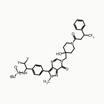 Cn1nc2c(=O)n(CC3(O)CCN(C(=O)CC(c4ccccc4)C(F)(F)F)CC3)cnc2c1-c1ccc(C(N[S@+]([O-])C(C)(C)C)C(F)F)cc1